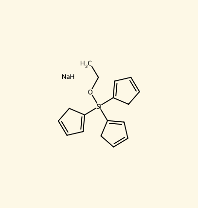 CCO[Si](C1=CC=CC1)(C1=CC=CC1)C1=CC=CC1.[NaH]